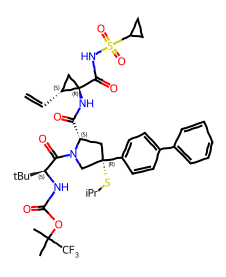 C=C[C@@H]1C[C@]1(NC(=O)[C@@H]1C[C@@](SC(C)C)(c2ccc(-c3ccccc3)cc2)CN1C(=O)[C@@H](NC(=O)OC(C)(C)C(F)(F)F)C(C)(C)C)C(=O)NS(=O)(=O)C1CC1